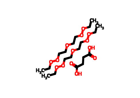 CCOOCCOCCOOCC.CCOOCCOCCOOCC.O=C(O)CCC(=O)O